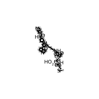 C[Si](C)(C)CCOC(=O)N[C@@H](CSC1CC(=O)N(CC(=O)NCCCCCCn2nc(-c3ccc(NC(=O)N4Cc5ccncc5C4)cc3)cc(-c3cccc4ncccc34)c2=O)C1=O)C(=O)O